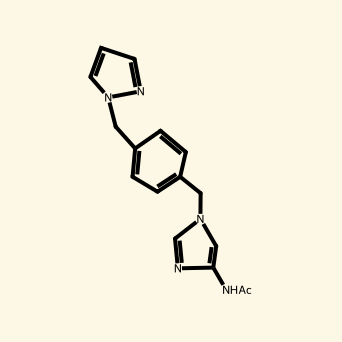 CC(=O)Nc1cn(Cc2ccc(Cn3cccn3)cc2)cn1